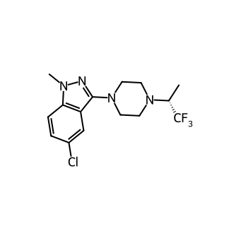 C[C@@H](N1CCN(c2nn(C)c3ccc(Cl)cc23)CC1)C(F)(F)F